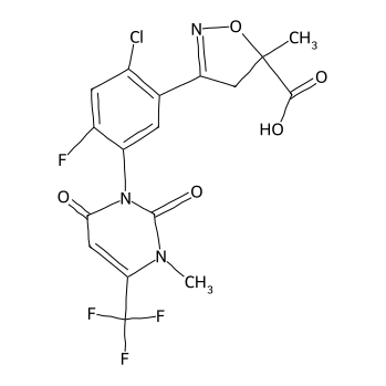 Cn1c(C(F)(F)F)cc(=O)n(-c2cc(C3=NOC(C)(C(=O)O)C3)c(Cl)cc2F)c1=O